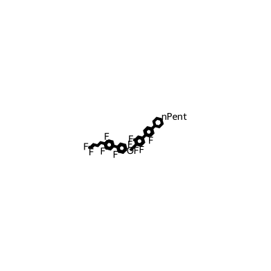 CCCCCC1CCC(c2ccc(-c3cc(F)c(C(F)(F)Oc4ccc(-c5cc(F)c(CCC=C(F)F)c(F)c5)c(F)c4)c(F)c3)c(F)c2)CC1